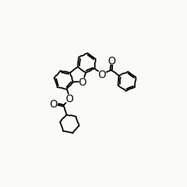 O=C(Oc1cccc2c1oc1c(OC(=O)C3CCCCC3)cccc12)c1ccccc1